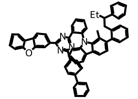 CCC(Cc1ccccc1-c1ccc2c3ccccc3n(-c3ccccc3-c3nc(-c4ccc(-c5ccccc5)cc4)nc(-c4ccc5c(c4)oc4ccccc45)n3)c2c1C)c1ccccc1